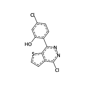 Oc1cc(Cl)ccc1-c1nnc(Cl)c2ccsc12